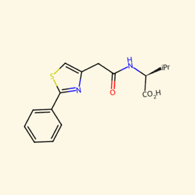 CC(C)[C@H](NC(=O)Cc1csc(-c2ccccc2)n1)C(=O)O